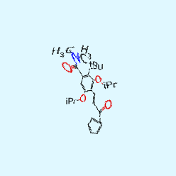 CC(C)Oc1cc(C(=O)N(C)C)c(C(C)(C)C)c(OC(C)C)c1C=CC(=O)c1ccccc1